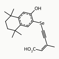 CC(C#C[Se]c1cc2c(cc1O)C(C)(C)CCC2(C)C)=CC(=O)O